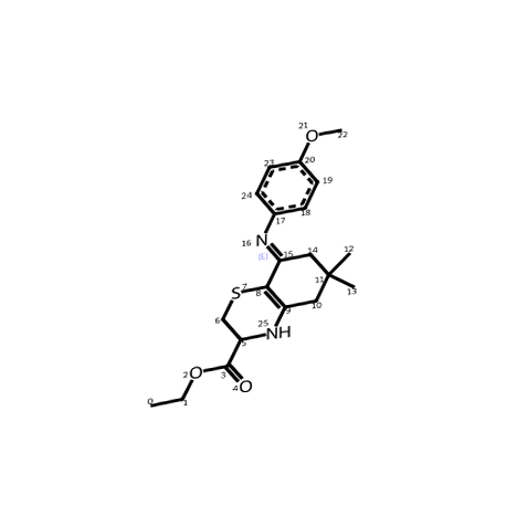 CCOC(=O)C1CSC2=C(CC(C)(C)C/C2=N\c2ccc(OC)cc2)N1